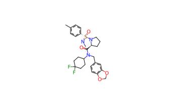 CN=[S@](=O)(c1ccc(C)cc1)N1CCC[C@H]1C(=O)N(Cc1ccc2c(c1)OCO2)C1CCC(F)(F)CC1